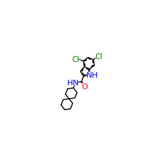 O=C(NC1CCC2(CCCCC2)CC1)c1cc2c(Cl)cc(Cl)cc2[nH]1